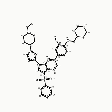 CCN1CCC(n2cc(-c3cn(S(=O)(=O)c4ccccc4)c4ncc(-c5cnc(OCC6CCOCC6)c(F)c5)nc34)cn2)CC1